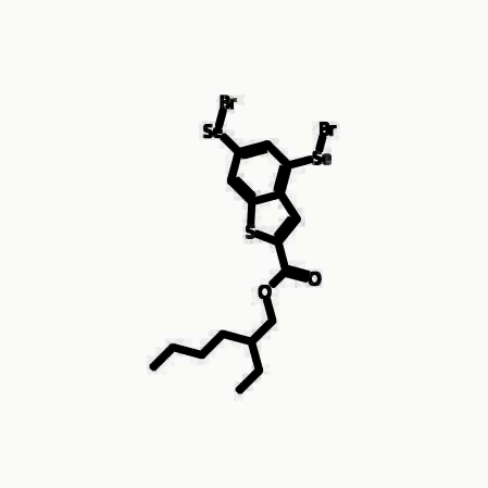 CCCCC(CC)COC(=O)c1cc2c([Se]Br)cc([Se]Br)cc2s1